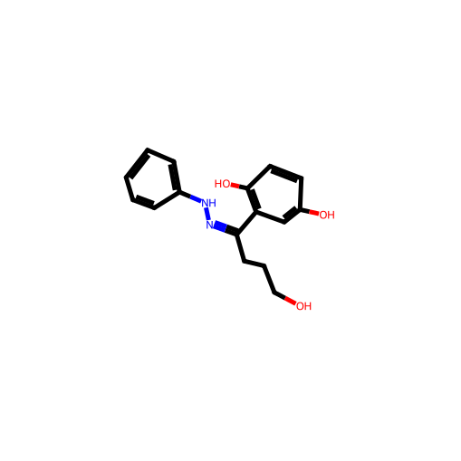 OCCCC(=NNc1ccccc1)c1cc(O)ccc1O